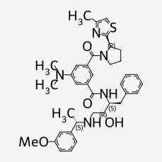 COc1cccc([C@H](C)NC[C@@H](O)[C@H](Cc2ccccc2)NC(=O)c2cc(C(=O)N3CCC[C@@H]3c3nc(C)cs3)cc(N(C)C)c2)c1